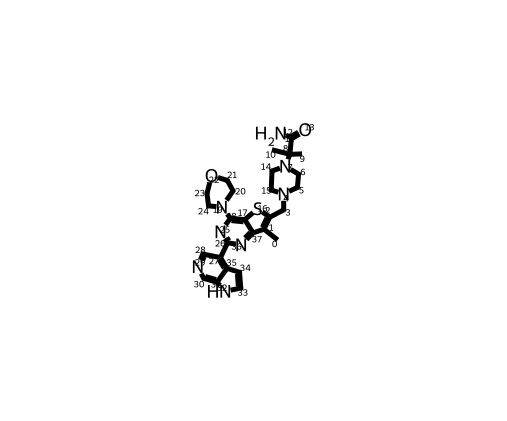 Cc1c(CN2CCN(C(C)(C)C(N)=O)CC2)sc2c(N3CCOCC3)nc(-c3cncc4[nH]ccc34)nc12